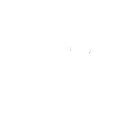 O=C1C[C@@H]2CCCN3CCOc4ccccc4C1=C23